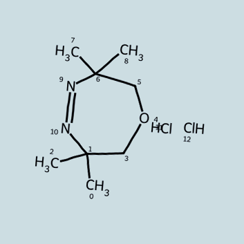 CC1(C)COCC(C)(C)N=N1.Cl.Cl